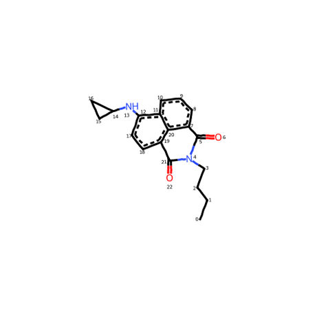 CCCCN1C(=O)c2cccc3c(NC4CC4)ccc(c23)C1=O